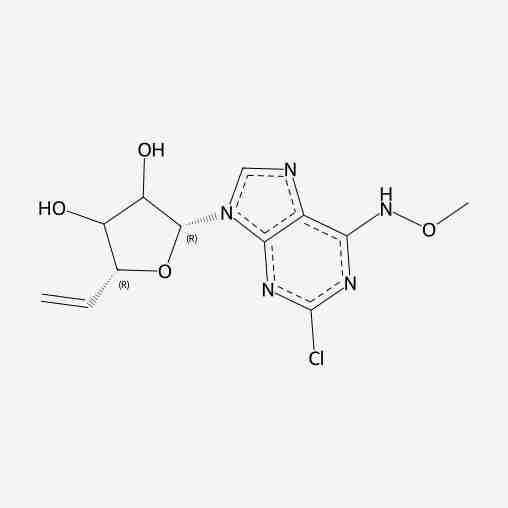 C=C[C@H]1O[C@@H](n2cnc3c(NOC)nc(Cl)nc32)C(O)C1O